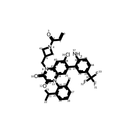 C=CC(=O)N1CC(Cn2c(=O)c(=O)n(-c3c(C)cccc3C(C)C)c3cc(-c4cc(C(F)(F)F)ccc4N)c(Cl)cc32)C1